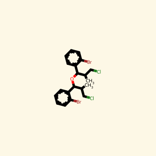 CC(CCl)C(OC(c1ccccc1Br)C(C)CCl)c1ccccc1Br